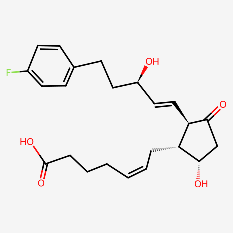 O=C(O)CCC/C=C\C[C@H]1[C@@H](O)CC(=O)[C@@H]1/C=C/[C@H](O)CCc1ccc(F)cc1